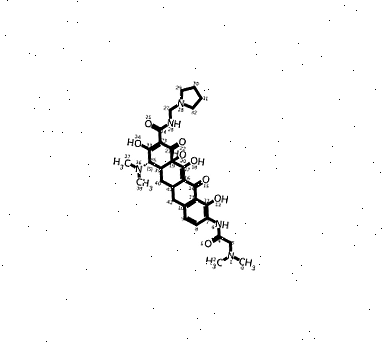 CN(C)CC(=O)Nc1ccc2c(c1O)C(=O)C1=C(O)C3(O)C(=O)C(C(=O)NCN4CCCC4)=C(O)[C@@H](N(C)C)C3CC1C2